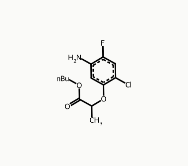 CCCCOC(=O)C(C)Oc1cc(N)c(F)cc1Cl